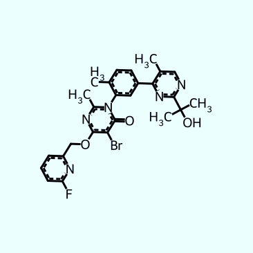 Cc1ccc(-c2nc(C(C)(C)O)ncc2C)cc1-n1c(C)nc(OCc2cccc(F)n2)c(Br)c1=O